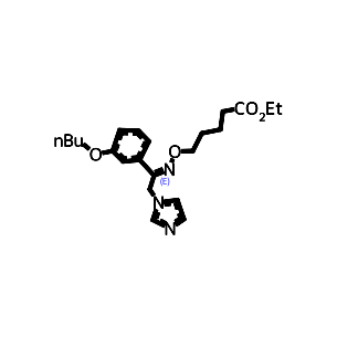 CCCCOc1cccc(/C(Cn2ccnc2)=N\OCCCCC(=O)OCC)c1